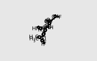 CC1(C)CCC(CN2CCN(c3ccc(C(=O)NS(=O)(=O)c4ccc(NCCCC5CN(CCF)CCO5)c([N+](=O)[O-])c4)c(Oc4cnc5[nH]ccc5c4)c3)CC2)=C(c2ccc(C(F)(F)F)cc2Cl)C1